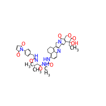 CC[C@@]1(O)C(=O)OCc2c1cc1n(c2=O)Cc2c-1nc1ccc(NC(=O)[C@H](C)NC(=O)[C@@H](NC(=O)Cc3ccc(N4C(=O)C=CC4=O)cc3)C(C)C)c3c1c2CCC3